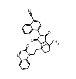 CC12CCC(CCn3c(=O)cnc4ccccc43)(O1)C1C(=O)N(c3ccc(C#N)c4ccccc34)C(=O)C12